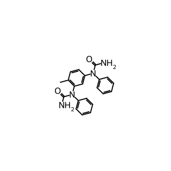 Cc1ccc(N(C(N)=O)c2ccccc2)cc1N(C(N)=O)c1ccccc1